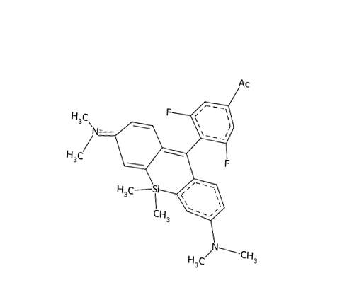 CC(=O)c1cc(F)c(C2=C3C=CC(=[N+](C)C)C=C3[Si](C)(C)c3cc(N(C)C)ccc32)c(F)c1